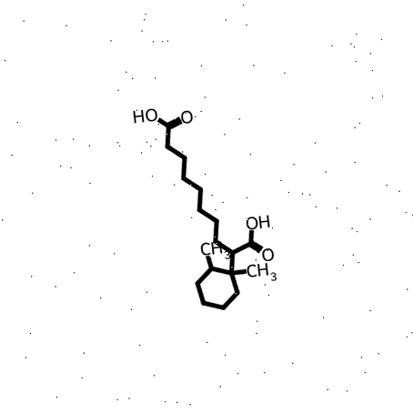 CC1CCCCC1(C)C(CCCCCCCC(=O)O)C(=O)O